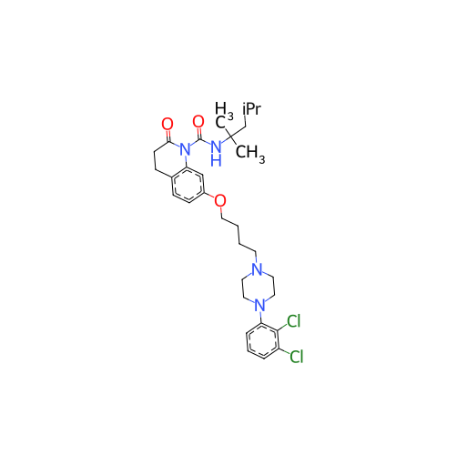 CC(C)CC(C)(C)NC(=O)N1C(=O)CCc2ccc(OCCCCN3CCN(c4cccc(Cl)c4Cl)CC3)cc21